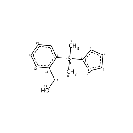 C[Si](C)(c1cccs1)c1ccccc1CO